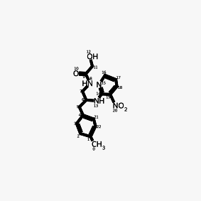 Cc1ccc(CC(CNC(=O)CO)Nc2ncccc2[N+](=O)[O-])cc1